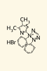 Br.Cc1nc([N+]2(c3ccccc3)N=CN=[N+]2c2ccccc2)sc1C